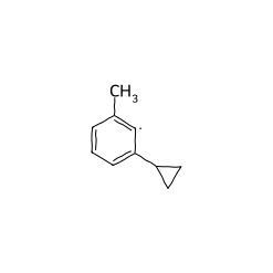 Cc1[c]c(C2CC2)ccc1